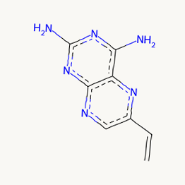 C=Cc1cnc2nc(N)nc(N)c2n1